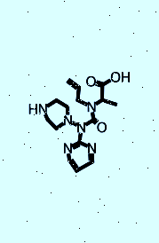 C=CCN(C(=O)N(c1ncccn1)N1CCNCC1)C(C)C(=O)O